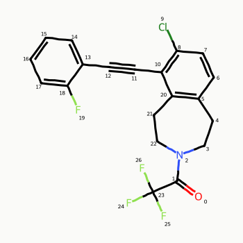 O=C(N1CCc2ccc(Cl)c(C#Cc3ccccc3F)c2CC1)C(F)(F)F